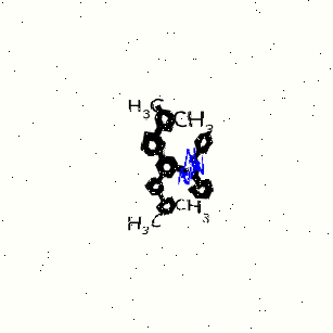 Cc1cc(C)cc(-c2cccc(-c3cc(-c4cccc(-c5cc(C)cc(C)c5)c4)cc(-c4nc(-c5ccccc5)nc(-c5ccccc5)n4)c3)c2)c1